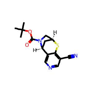 CC(C)(C)OC(=O)N1C[C@@H]2C[C@H]1c1cncc(C#N)c1S2